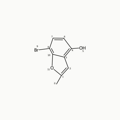 Cc1cc2c(O)ccc(Br)c2o1